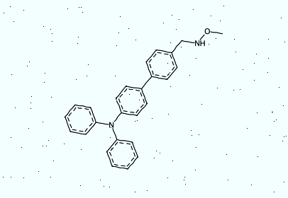 CONCc1ccc(-c2ccc(N(c3ccccc3)c3ccccc3)cc2)cc1